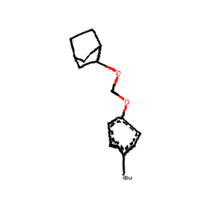 CCC(C)c1ccc(OCOC2CC3CCC2C3)cc1